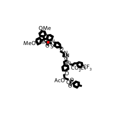 CCOC(=O)[C@H](Cc1ccc(C(F)(F)F)cc1)NC[C@H](Cc1ccc(OCC(COS(=O)(=O)c2ccc(C)cc2)OC(C)=O)cc1)n1cc(COc2ccc3nc(S(=O)(=O)NC(c4ccccc4)(c4ccc(OC)cc4)c4ccc(OC)cc4)sc3c2)nn1